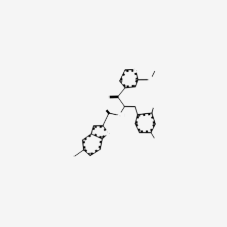 COc1cc(C(=O)C(Cc2ccc(F)cc2F)NC(=O)c2cc3cc(Cl)ccc3[nH]2)ccn1